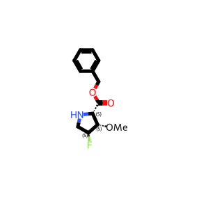 CO[C@H]1[C@@H](C(=O)OCc2ccccc2)NC[C@@H]1F